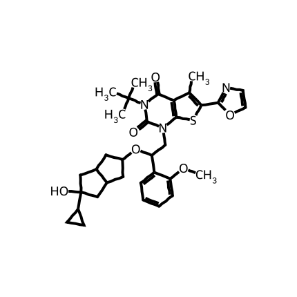 COc1ccccc1C(Cn1c(=O)n(C(C)(C)C)c(=O)c2c(C)c(-c3ncco3)sc21)OC1CC2CC(O)(C3CC3)CC2C1